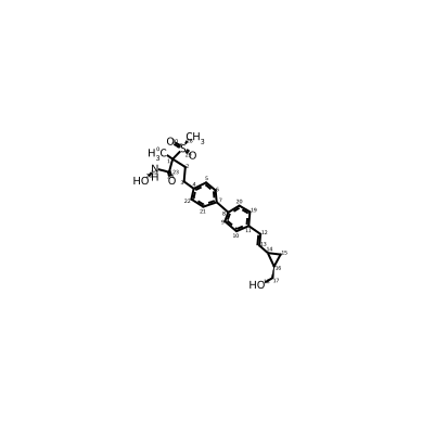 CC(CCc1ccc(-c2ccc(/C=C/C3C[C@H]3CO)cc2)cc1)(C(=O)NO)S(C)(=O)=O